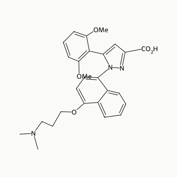 COc1cccc(OC)c1-c1cc(C(=O)O)nn1-c1ccc(OCCCN(C)C)c2ccccc12